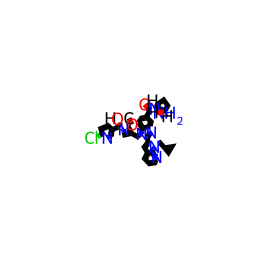 COc1cc(C(=O)N2C[C@H]3CC[C@@H]2[C@@H]3N)cc2nc(-c3cc4cccnc4n3CC3CC3)n(CC3CN(C(=O)c4ccc(Cl)nc4)C3)c12